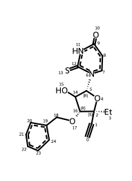 C#C[C@]1(CC)O[C@@H](n2ccc(=O)[nH]c2=S)C(O)[C@H]1OCc1ccccc1